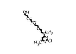 Cc1cc(N(C)CCOCCOCCOCCO)nc(Cl)n1